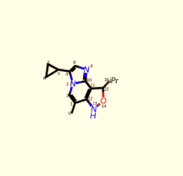 Cc1cn2c(C3CC3)cnc2c2c1NOC2C(C)C